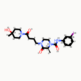 C[C@H]1C(=O)N(CCCC(=O)N2CCC(C)(O)CC2)CCN1C(=O)Nc1cccc(I)c1